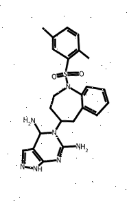 Cc1ccc(C)c(S(=O)(=O)N2CCC(N3C(N)=Nc4[nH]ncc4C3N)Cc3ccccc32)c1